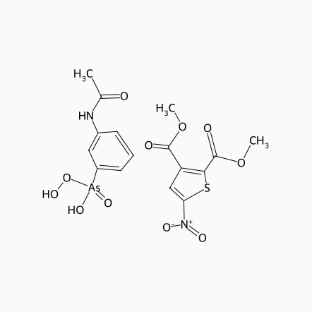 CC(=O)Nc1cccc([As](=O)(O)OO)c1.COC(=O)c1cc([N+](=O)[O-])sc1C(=O)OC